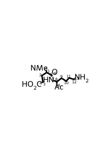 CNC(CCC(=O)O)C(=O)NC(CCCCN)C(C)=O